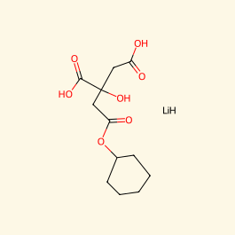 O=C(O)CC(O)(CC(=O)OC1CCCCC1)C(=O)O.[LiH]